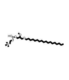 CCCCCCCCCCCCCCCCCCOCC(COP(O)OCC[N+](C)(C)C)OC